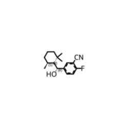 C[C@H]1CCCC(C)(C)[C@@H]1[C@@H](O)c1ccc(F)c(C#N)c1